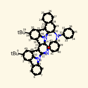 CC(C)(C)c1cc2c3ccccc3n3c4ncc5c(c6cc(C(C)(C)C)cc7c8c9ccccc9cc(N(c9ccccc9)c9ccccc9)c8n5c67)c4c(c1)c23